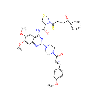 COc1ccc(/C=C/C(=O)N2CCN(c3nc(NC(=O)C4CSCN4C(=S)CCC(=O)c4ccccc4)c4cc(OC)c(OC)cc4n3)CC2)cc1